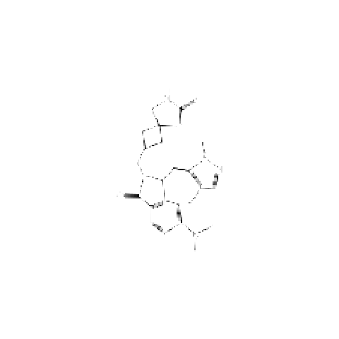 CN(C)c1ccc2c(c1)C(Cc1c(Cl)cnn1C)N(CC1CC3(CNC(=O)O3)C1)C2=O